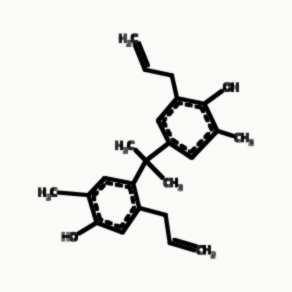 C=CCc1cc(O)c(C)cc1C(C)(C)c1cc(C)c(O)c(CC=C)c1